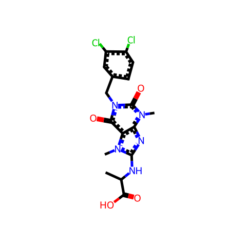 CC(Nc1nc2c(c(=O)n(Cc3ccc(Cl)c(Cl)c3)c(=O)n2C)n1C)C(=O)O